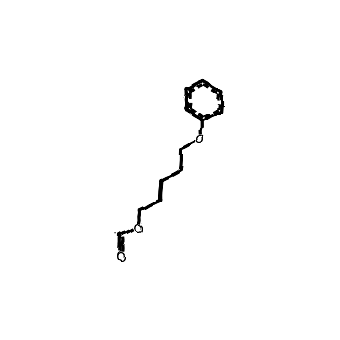 O=[C]OCCCCCOc1ccccc1